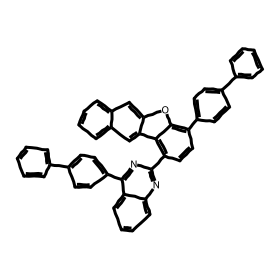 c1ccc(-c2ccc(-c3nc(-c4ccc(-c5ccc(-c6ccccc6)cc5)c5oc6cc7ccccc7cc6c45)nc4ccccc34)cc2)cc1